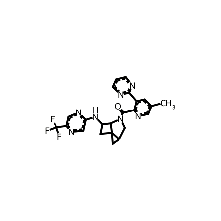 Cc1cnc(C(=O)N2CC3CC34CC(Nc3cnc(C(F)(F)F)cn3)C24)c(-c2ncccn2)c1